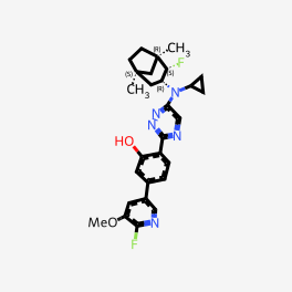 COc1cc(-c2ccc(-c3ncc(N(C4CC4)[C@@H]4C[C@@]5(C)CC[C@](C)(C5)[C@@H]4F)nn3)c(O)c2)cnc1F